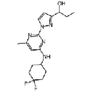 CCC(O)c1ccn(-c2nc(C)cc(NC3CCC(F)(F)CC3)n2)n1